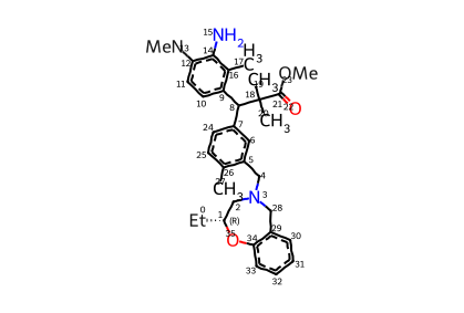 CC[C@@H]1CN(Cc2cc(C(c3ccc(NC)c(N)c3C)C(C)(C)C(=O)OC)ccc2C)Cc2ccccc2O1